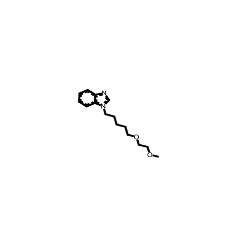 COCCOCCCCCn1cnc2ccccc21